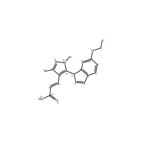 CCOc1ccc2ccn(-c3c(C=CC(=O)O)c(C)nn3C)c2c1